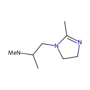 CNC(C)CN1CCN=C1C